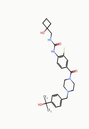 O=C(NCC1(O)CCC1)Nc1ccc(C(=O)N2CCN(Cc3ccc(C(O)(C(F)(F)F)C(F)(F)F)cc3)CC2)cc1F